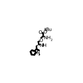 Cn1cc(C[C@@H](COC[C@H](N)C(=O)OC(C)(C)C)NI)c2ccccc21